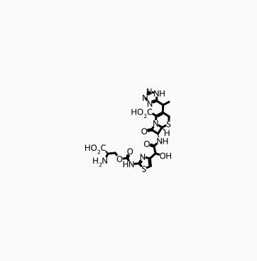 CC(C1=C(C(=O)O)N2C(=O)[C@@H](NC(=O)C(O)c3csc(NC(=O)OC[C@@H](N)C(=O)O)n3)[C@@H]2SC1)c1nnn[nH]1